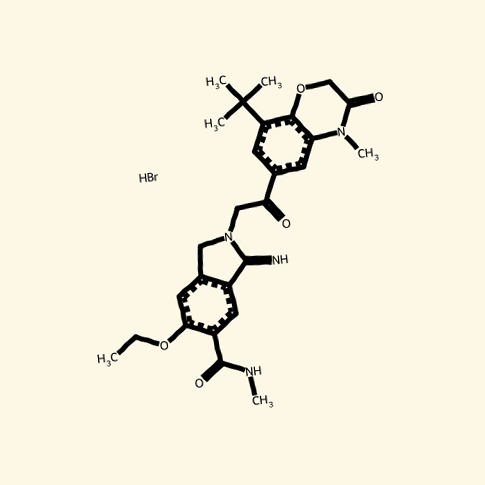 Br.CCOc1cc2c(cc1C(=O)NC)C(=N)N(CC(=O)c1cc3c(c(C(C)(C)C)c1)OCC(=O)N3C)C2